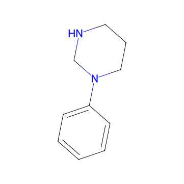 c1ccc(N2CCCNC2)cc1